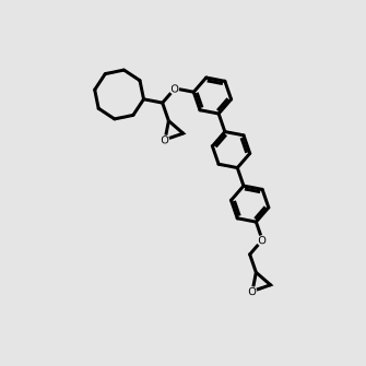 C1=CC(c2ccc(OCC3CO3)cc2)CC=C1c1cccc(OC(C2CCCCCCC2)C2CO2)c1